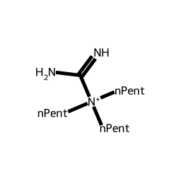 CCCCC[N+](CCCCC)(CCCCC)C(=N)N